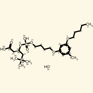 CCCCCOc1cc(C)cc(OCCCCOP(=O)(O)O[C@H](CC(=O)O)C[N+](C)(C)C)c1.[OH-]